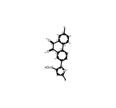 CCCCCCCCc1cc(C)sc1-c1ccc2c(c1)C(=O)C(=O)c1cc(C)ccc1-2